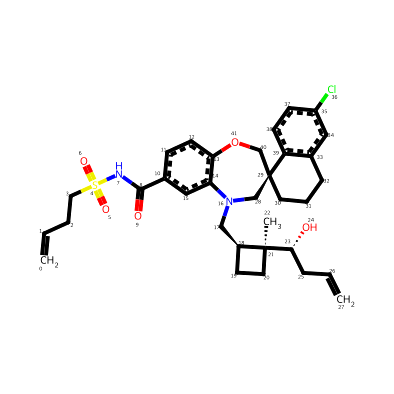 C=CCCS(=O)(=O)NC(=O)c1ccc2c(c1)N(C[C@@H]1CC[C@]1(C)[C@H](O)CC=C)C[C@@]1(CCCc3cc(Cl)ccc31)CO2